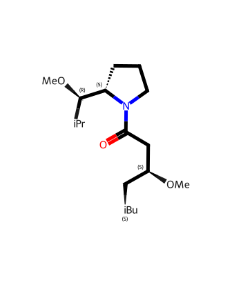 CC[C@H](C)C[C@@H](CC(=O)N1CCC[C@H]1[C@H](OC)C(C)C)OC